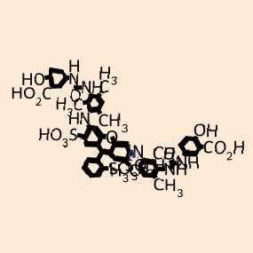 Cc1cc(C)c(NC(=O)Nc2ccc(O)c(C(=O)O)c2)c(C)c1/N=c1/cc2oc3cc(Nc4c(C)cc(C)c(NC(=O)Nc5ccc(O)c(C(=O)O)c5)c4C)c(S(=O)(=O)O)cc3c(-c3ccccc3S(=O)(=O)O)c-2cc1S(=O)(=O)O